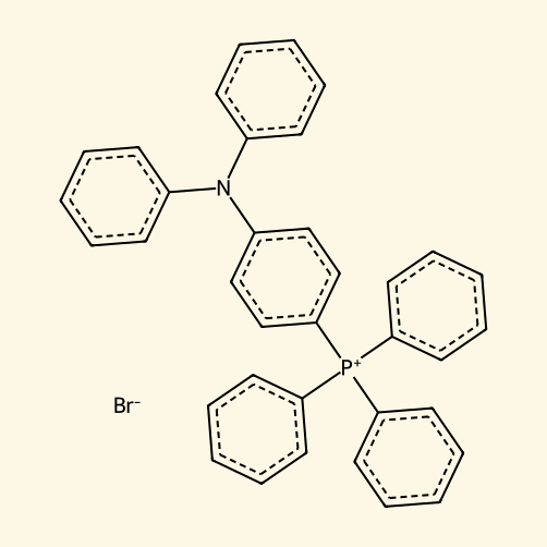 [Br-].c1ccc(N(c2ccccc2)c2ccc([P+](c3ccccc3)(c3ccccc3)c3ccccc3)cc2)cc1